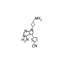 N#Cc1ccc(-c2cn(C3CC(CN)C3)c3ncnc(N)c23)s1